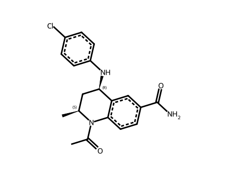 CC(=O)N1c2ccc(C(N)=O)cc2[C@H](Nc2ccc(Cl)cc2)C[C@@H]1C